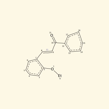 CCOc1ccccc1/C=C/C(=O)c1ccccc1